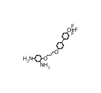 Nc1ccc(OCCCOc2ccc(-c3ccc(OC(F)(F)F)cc3)cc2)c(N)c1